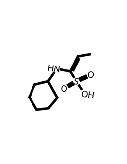 CC=C(NC1CCCCC1)S(=O)(=O)O